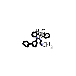 C=C1CCC=CC1=NC(=C/C=C\C)/C(c1cccc(-c2ccccc2)c1)=c1/ccccc1=C